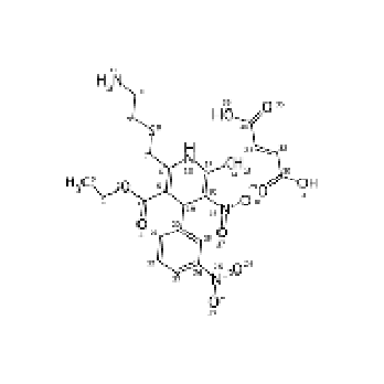 CCOC(=O)C1=C(CSCCN)NC(C)=C([N+](=O)[O-])C1c1cccc([N+](=O)[O-])c1.O=C(O)C=CC(=O)O